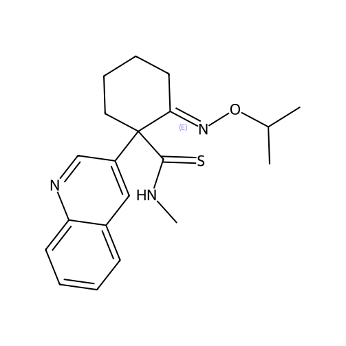 CNC(=S)C1(c2cnc3ccccc3c2)CCCC/C1=N\OC(C)C